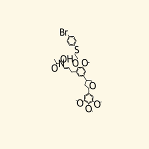 COc1cc(C2COC(c3cc(OC)c(OC)c(OC)c3)C2)cc(C/C=C/N(O)C(C)=O)c1OCCSc1ccc(Br)cc1